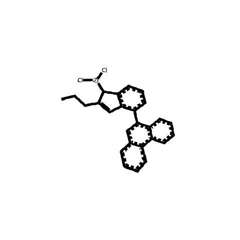 CCCC1=Cc2c(-c3cc4ccccc4c4ccccc34)cccc2[CH]1[Zr]([Cl])[Cl]